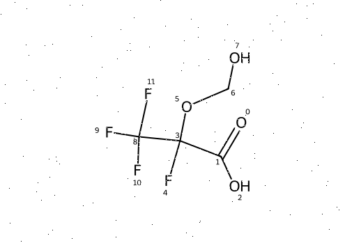 O=C(O)C(F)(OCO)C(F)(F)F